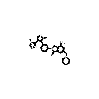 Cn1cnnc1-c1cnn(C)c1-c1cccc(N2Cc3c(cc(CN4CCCCC4)cc3C(F)(F)F)C2=O)c1